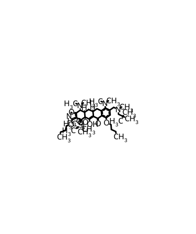 CCCCOc1cc(CN(C)CC(C)(C)C)c(N(C)C)c2c1C(=O)C1=C(O)[C@]3(O[Si](C)(C)C(C)(C)C)C(=O)c4c(OCCCC)noc4[C@@H](N(C)C)[C@@H]3C[C@@H]1C2